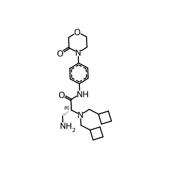 NC[C@H](C(=O)Nc1ccc(N2CCOCC2=O)cc1)N(CC1CCC1)CC1CCC1